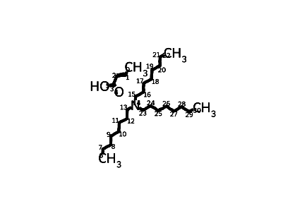 CC=CC(=O)O.CCCCCCCCN(CCCCCCCC)CCCCCCCC